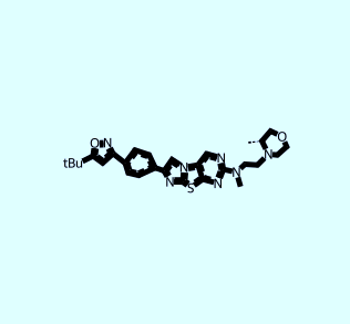 C[C@@H]1COCCN1CCN(C)c1ncc2c(n1)sc1nc(-c3ccc(-c4cc(C(C)(C)C)on4)cc3)cn12